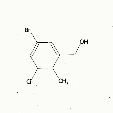 Cc1c(Cl)cc(Br)cc1CO